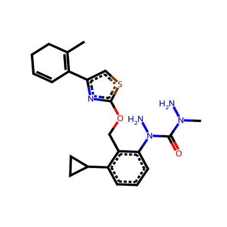 CC1=C(c2csc(OCc3c(C4CC4)cccc3N(N)C(=O)N(C)N)n2)C=CCC1